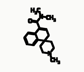 CN1CCC2(CC=C(C(=O)N(C)C)c3ccccc32)CC1